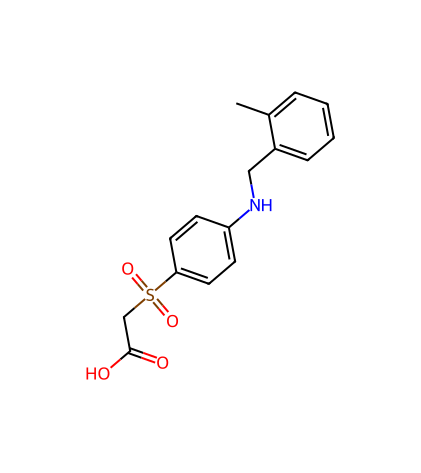 Cc1ccccc1CNc1ccc(S(=O)(=O)CC(=O)O)cc1